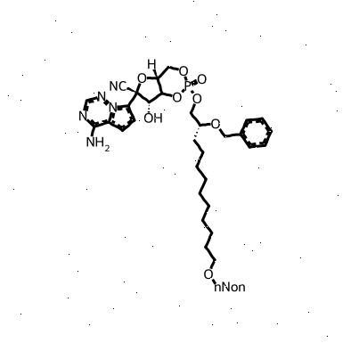 CCCCCCCCCOCCCCCCCCCC[C@H](COP1(=O)OC[C@H]2O[C@@](C#N)(c3ccc4c(N)ncnn34)[C@@H](O)C2O1)OCc1ccccc1